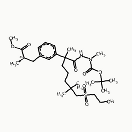 COC(=O)[C@H](C)Cc1cccc(C(C)(CCCC(C)(C)CS(=O)(=O)CCO)C(=O)NN(C)C(=O)OC(C)(C)C)c1